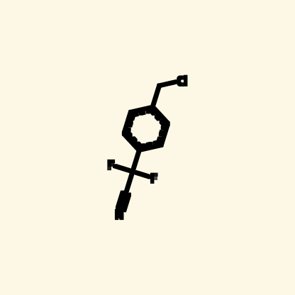 N#CC(F)(F)c1ccc(CCl)cc1